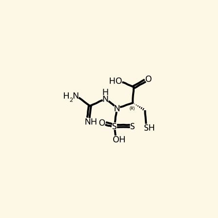 N=C(N)NN([C@@H](CS)C(=O)O)S(=O)(O)=S